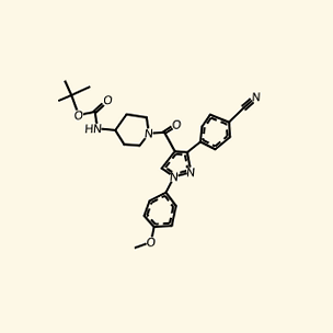 COc1ccc(-n2cc(C(=O)N3CCC(NC(=O)OC(C)(C)C)CC3)c(-c3ccc(C#N)cc3)n2)cc1